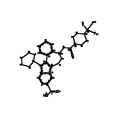 O=C(O)c1ccc2c(C3CCCCC3)c3n(c2c1)CCN(CC(=O)N1CCC(C(F)(F)F)CC1)c1ccccc1-3